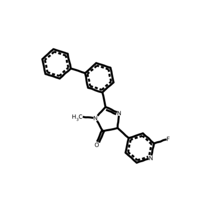 CN1C(=O)C(c2ccnc(F)c2)N=C1c1cccc(-c2ccccc2)c1